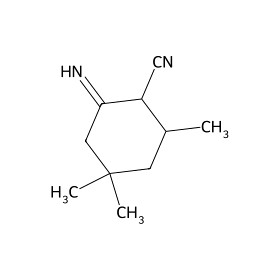 CC1CC(C)(C)CC(=N)C1C#N